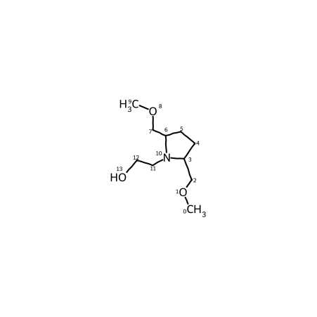 COCC1CCC(COC)N1CCO